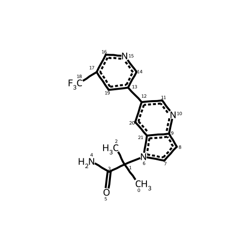 CC(C)(C(N)=O)n1ccc2ncc(-c3cncc(C(F)(F)F)c3)cc21